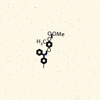 COC(=O)COc1ccc(OC/C=C(\c2ccccc2)c2ccc(I)cc2)cc1C